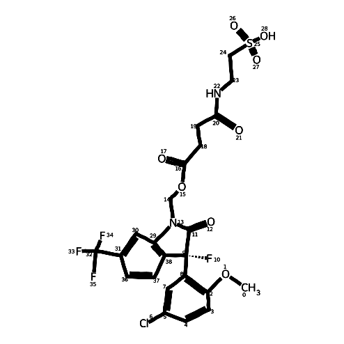 COc1ccc(Cl)cc1[C@]1(F)C(=O)N(COC(=O)CCC(=O)NCCS(=O)(=O)O)c2cc(C(F)(F)F)ccc21